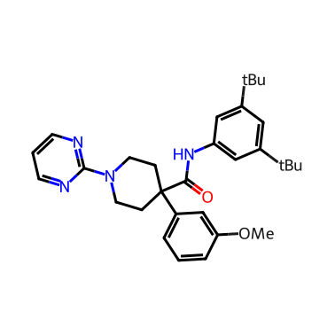 COc1cccc(C2(C(=O)Nc3cc(C(C)(C)C)cc(C(C)(C)C)c3)CCN(c3ncccn3)CC2)c1